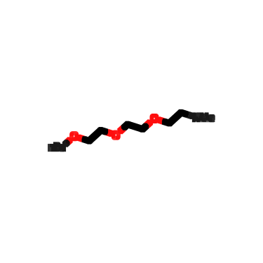 CCCCOCCOCCOCCNC